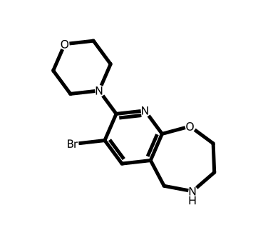 Brc1cc2c(nc1N1CCOCC1)OCCNC2